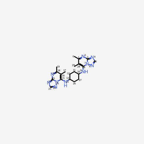 Cc1nc2ncnn2c(NC2CCC(Nc3c(C)c(C)nc4ncnn34)CC2)c1C